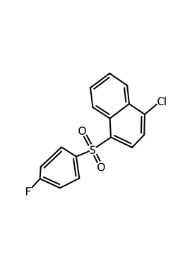 O=S(=O)(c1ccc(F)cc1)c1ccc(Cl)c2ccccc12